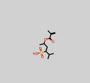 C=C(C)C(=O)OC(C)CC(C(C)C)S(=O)(=O)O